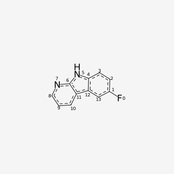 Fc1ccc2[nH]c3ncccc3c2c1